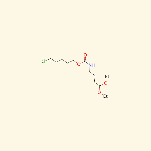 CCOC(CCCNC(=O)OCCCCCCl)OCC